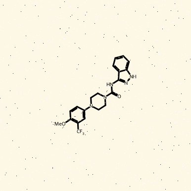 COc1ccc(N2CCN(C(=O)Nc3n[nH]c4ccccc34)CC2)cc1C(F)(F)F